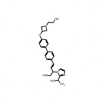 CC(O)c1nccn1C(/C=C/c1ccc(-c2ccc(OC3CN(CCO)C3)cc2)cc1)CO